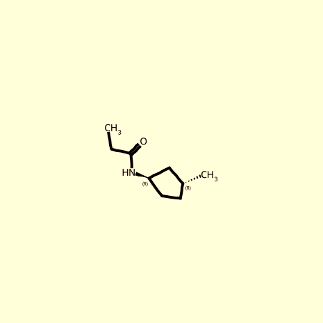 CCC(=O)N[C@@H]1CC[C@@H](C)C1